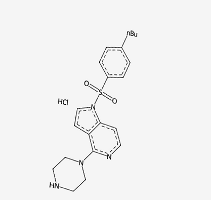 CCCCc1ccc(S(=O)(=O)n2ccc3c(N4CCNCC4)nccc32)cc1.Cl